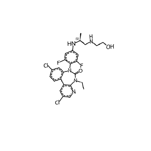 CCN1C(=O)N(c2c(F)cc(N[C@@H](C)CNCCO)cc2F)c2cc(Cl)ccc2-c2cc(Cl)cnc21